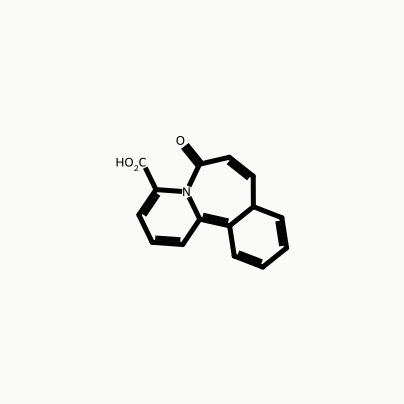 O=C(O)C1=CC=CC2=C3C=CC=CC3C=CC(=O)N12